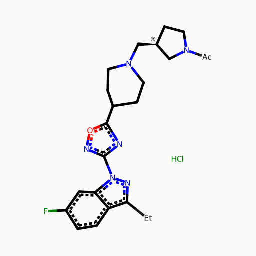 CCc1nn(-c2noc(C3CCN(C[C@H]4CCN(C(C)=O)C4)CC3)n2)c2cc(F)ccc12.Cl